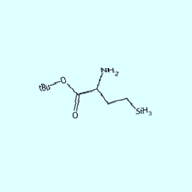 CC(C)(C)OC(=O)C(N)CC[SiH3]